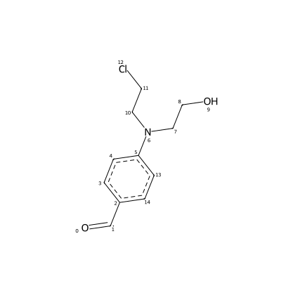 O=[C]c1ccc(N(CCO)CCCl)cc1